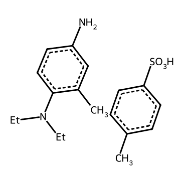 CCN(CC)c1ccc(N)cc1C.Cc1ccc(S(=O)(=O)O)cc1